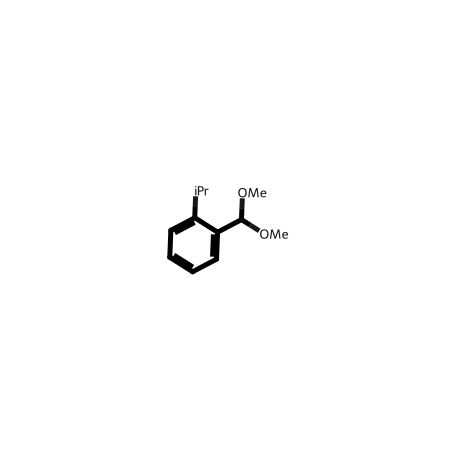 COC(OC)c1ccccc1C(C)C